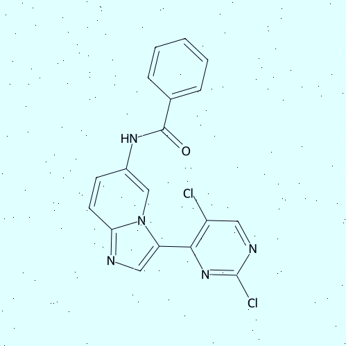 O=C(Nc1ccc2ncc(-c3nc(Cl)ncc3Cl)n2c1)c1ccccc1